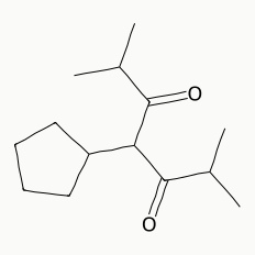 CC(C)C(=O)C(C(=O)C(C)C)C1CCCC1